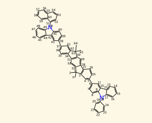 CC1(C)c2cc(-c3ccc4c(c3)c3ccccc3n4-c3ccccc3)ccc2-c2cc3c(cc21)-c1ccc(-c2ccc4c(c2)c2ccccc2n4-c2cccc4ccccc24)cc1C3(C)C